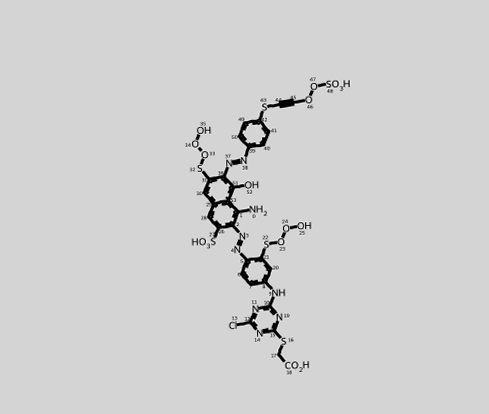 Nc1c(N=Nc2ccc(Nc3nc(Cl)nc(SCC(=O)O)n3)cc2SOOO)c(S(=O)(=O)O)cc2cc(SOOO)c(N=Nc3ccc(SC#COOS(=O)(=O)O)cc3)c(O)c12